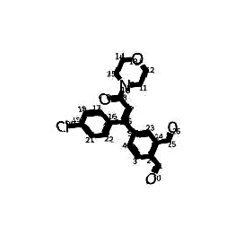 O=Cc1ccc(C(=CC(=O)N2CCOCC2)c2ccc(Cl)cc2)cc1C=O